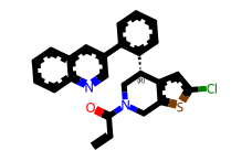 C=CC(=O)N1Cc2sc(Cl)cc2[C@@H](c2ccccc2-c2cnc3ccccc3c2)C1